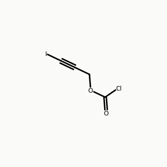 O=C(Cl)OCC#CI